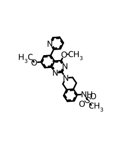 COc1cc(-c2ccccn2)c2c(OC)nc(N3CCc4c(cccc4NS(C)(=O)=O)C3)nc2c1